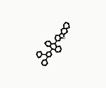 c1ccc(-c2ccc(-c3c4ccccc4c(-c4ccc5c(c4)oc4cc6ccccc6cc45)c4ccccc34)cc2-c2ccccc2)cc1